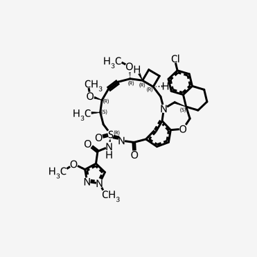 COc1nn(C)cc1C(=O)N[S@@]1(=O)=NC(=O)c2ccc3c(c2)N(C[C@@H]2CC[C@H]2[C@@H](OC)C#C[C@H](OC)[C@H](C)C1)C[C@@]1(CCCc2cc(Cl)ccc21)CO3